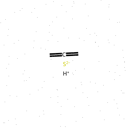 C=C=C.[H+].[S-2]